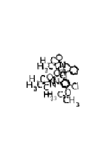 CC(C)Oc1cc(-n2nc(C(C)(C)C)oc2=O)c(Cl)cc1Cl.CC1(C)CON(Cc2ccccc2Cl)C1=O